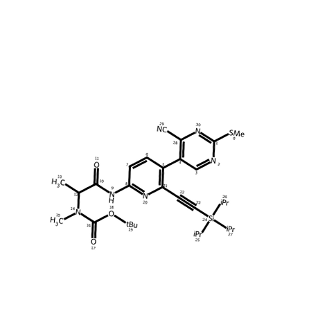 CSc1ncc(-c2ccc(NC(=O)C(C)N(C)C(=O)OC(C)(C)C)nc2C#C[Si](C(C)C)(C(C)C)C(C)C)c(C#N)n1